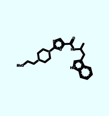 COCCN1CCN(c2ncc(C(=O)NC(C)Cc3c[nH]c4ccccc34)o2)CC1